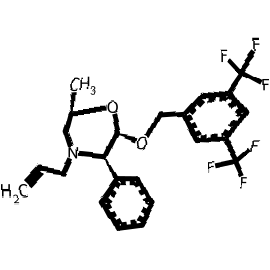 C=CCN1C[C@@H](C)O[C@@H](OCc2cc(C(F)(F)F)cc(C(F)(F)F)c2)[C@H]1c1ccccc1